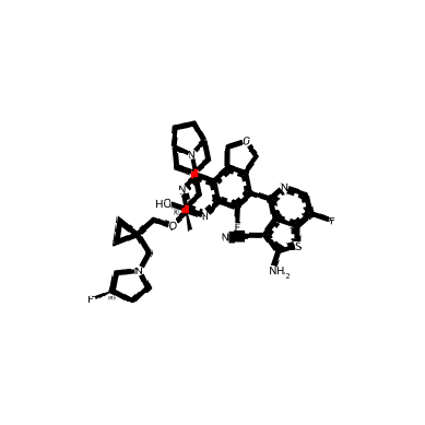 C[C@@H](O)CN1CC2CCC(C1)N2c1nc(OCC2(CN3CC[C@@H](F)C3)CC2)nc2c(F)c(-c3ncc(F)c4sc(N)c(C#N)c34)c3c(c12)COC3